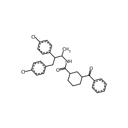 CC(NC(=O)C1CCCC(C(=O)c2ccccc2)C1)C(Cc1ccc(Cl)cc1)c1ccc(Cl)cc1